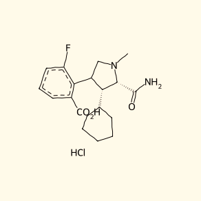 CN1CC(c2c(F)cccc2C(=O)O)[C@@H](C2CCCCC2)[C@H]1C(N)=O.Cl